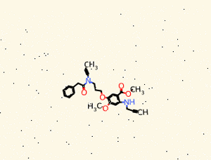 C#CCNc1cc(OC)c(OCCCN(C#CC)C(=O)Cc2ccccc2)cc1C(=O)OC